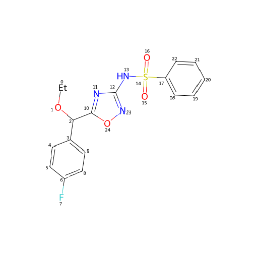 CCOC(c1ccc(F)cc1)c1nc(NS(=O)(=O)c2ccccc2)no1